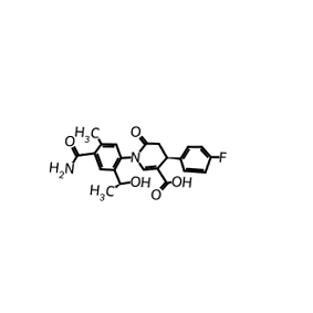 Cc1cc(N2C=C(C(=O)O)[C@H](c3ccc(F)cc3)CC2=O)c([C@H](C)O)cc1C(N)=O